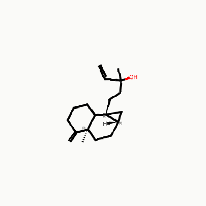 C=CC(C)(O)CC[C@@]12C[C@@H]1CC[C@@]1(C)C(=C)CCCC21